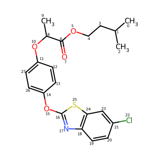 CC(C)CCOC(=O)C(C)Oc1ccc(Oc2nc3ccc(Cl)cc3s2)cc1